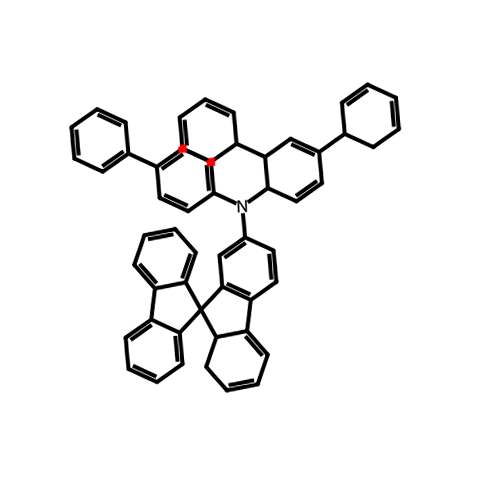 C1=CCC(C2=CC(C3C=CC=CC3)C(N(c3ccc(-c4ccccc4)cc3)c3ccc4c(c3)C3(c5ccccc5-c5ccccc53)C3CC=CC=C43)C=C2)C=C1